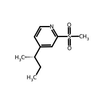 CC[C@H](C)c1ccnc(S(C)(=O)=O)c1